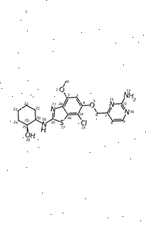 COc1cc(OCc2ccnc(N)n2)c(Cl)c2sc(NC3CCCC[C@@H]3O)nc12